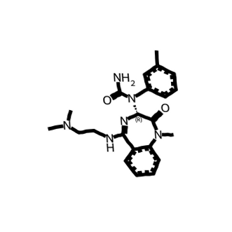 Cc1cccc(N(C(N)=O)[C@H]2N=C(NCCN(C)C)c3ccccc3N(C)C2=O)c1